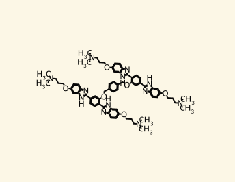 CN(C)CCCOc1ccc2nc(-c3ccc(-c4nc5ccc(OCCCN(C)C)cc5[nH]4)c(OCc4ccc(COc5cc(-c6nc7ccc(OCCCN(C)C)cc7[nH]6)ccc5-c5nc6ccc(OCCCN(C)C)cc6[nH]5)cc4)c3)[nH]c2c1